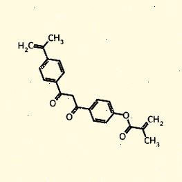 C=C(C)C(=O)Oc1ccc(C(=O)CC(=O)c2ccc(C(=C)C)cc2)cc1